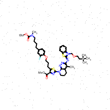 COC(=O)c1nc(N2CCCc3c2nnc(/N=c2\sc4ccccc4n2COCC[Si](C)(C)C)c3C)sc1CCCOc1ccc(CCCCN(C)C(=O)OC(C)(C)C)cc1F